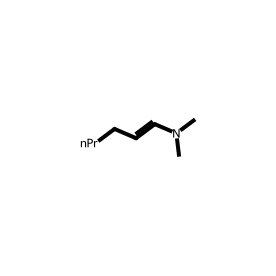 CCCCC=CN(C)C